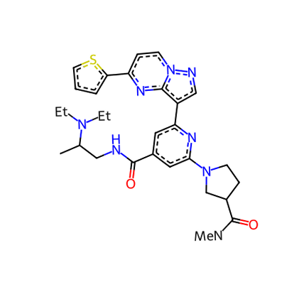 CCN(CC)C(C)CNC(=O)c1cc(-c2cnn3ccc(-c4cccs4)nc23)nc(N2CCC(C(=O)NC)C2)c1